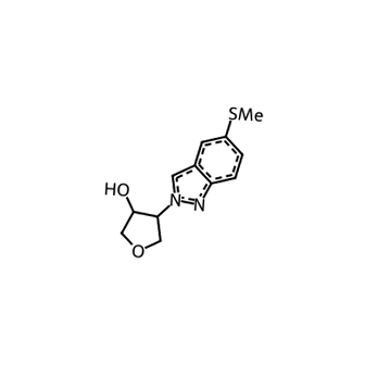 CSc1ccc2nn(C3COCC3O)cc2c1